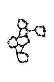 c1ccc(-n2c3ccccc3c3c4cccc5c4c(cc32)-c2ccccc2-5)cc1